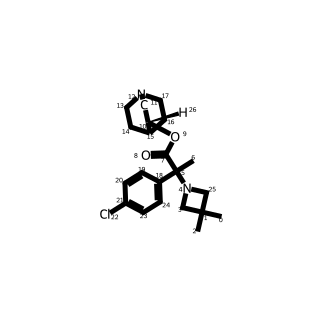 CC1(C)CN(C(C)(C(=O)O[C@H]2CN3CCC2CC3)c2ccc(Cl)cc2)C1